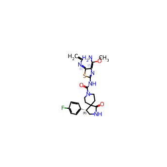 C=C/N=C1/SC(NC(=O)N2CCC3(CC2)C(=O)NC[C@@H]3c2ccc(F)cc2)=N/C1=C(/N)OC